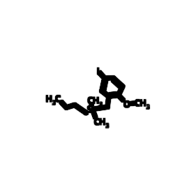 CCCC[Si](C)(C)Cc1cc(I)ccc1OC